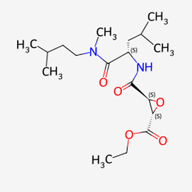 CCOC(=O)[C@H]1O[C@@H]1C(=O)N[C@@H](CC(C)C)C(=O)N(C)CCC(C)C